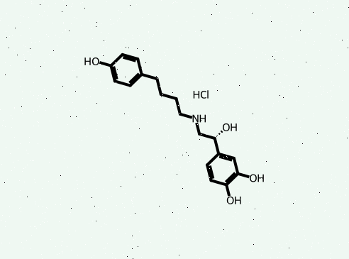 Cl.Oc1ccc(CCCCNC[C@H](O)c2ccc(O)c(O)c2)cc1